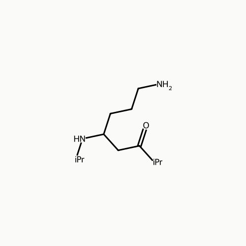 CC(C)NC(CCCN)CC(=O)C(C)C